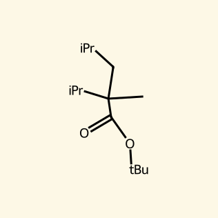 CC(C)CC(C)(C(=O)OC(C)(C)C)C(C)C